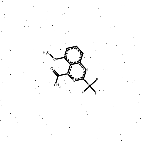 COc1cccc2nc(C(F)(F)F)nc(C(C)=O)c12